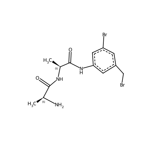 C[C@H](N)C(=O)N[C@@H](C)C(=O)Nc1cc(Br)cc(CBr)c1